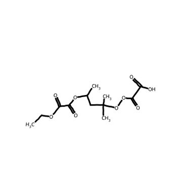 CCOC(=O)C(=O)OC(C)CC(C)(C)OOC(=O)C(=O)O